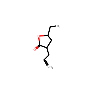 C=CCC1CC(CC)OC1=O